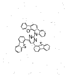 c1ccc2c(c1)oc1c2ccc2c3ccccc3n(-c3nc(-c4cccc5c4sc4ccccc45)cc(-c4cccc5c4sc4ccccc45)n3)c21